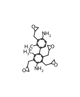 Cc1c(-c2c(C)c(CC3CO3)c(N)c(CC3CO3)c2CC2CO2)ccc(N)c1CC1CO1